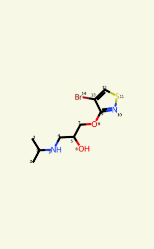 CC(C)NCC(O)COc1nscc1Br